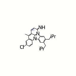 CC(=N)/C=C\c1c(C)c2cc(Cl)ccc2n2c1nc1cc(CC(C)C)c(CC(C)C)cc12